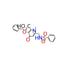 Cn1c(CNS(=O)(=O)c2ccccc2)cc(=O)c(OCc2ccccc2)c1C(=O)O